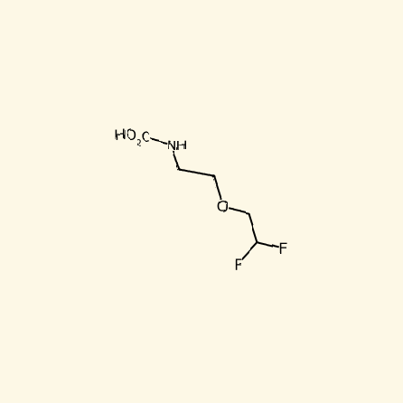 O=C(O)NCCOCC(F)F